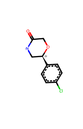 O=C1CO[C@@H](c2ccc(Cl)cc2)C[N]1